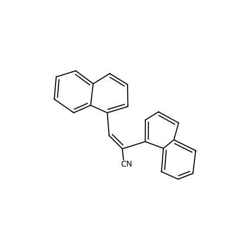 N#CC(=Cc1cccc2ccccc12)c1cccc2ccccc12